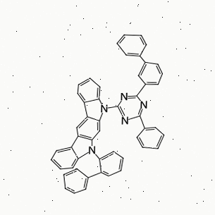 c1ccc(-c2cccc(-c3nc(-c4ccccc4)nc(-n4c5ccccc5c5cc6c7ccccc7n(-c7ccccc7-c7ccccc7)c6cc54)n3)c2)cc1